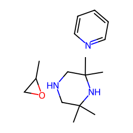 CC1(C)CNCC(C)(C)N1.CC1CO1.c1ccncc1